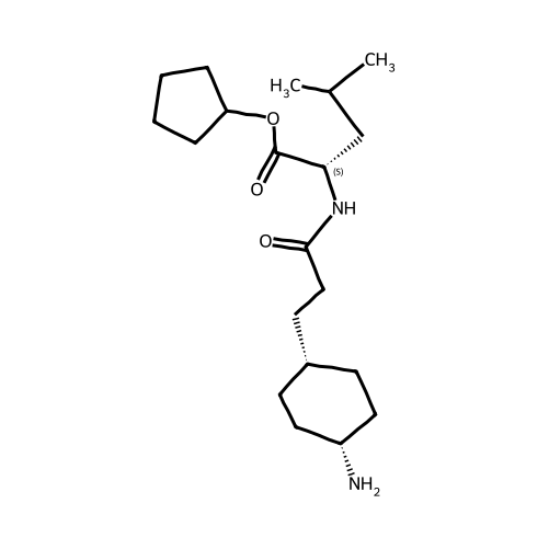 CC(C)C[C@H](NC(=O)CC[C@H]1CC[C@@H](N)CC1)C(=O)OC1CCCC1